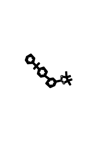 CC(C)(c1ccccc1)c1ccc(-c2cccc(B3OC(C)(C)C(C)(C)O3)c2)cc1